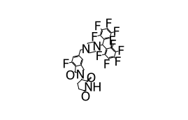 O=C1CCC(N2Cc3cc(CN4CCN(C(c5c(F)c(F)c(F)c(F)c5F)c5c(F)c(F)c(F)c(F)c5F)CC4)cc(F)c3C2=O)C(=O)N1